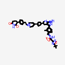 Cc1cc(-c2n[nH]c3ncc(-c4ccc(C5CCN(CCc6ccc(C7CCC(=O)NC7=O)cc6)CC5)cc4)cc23)ccc1CNC(=O)c1noc(C(C)(C)C)n1